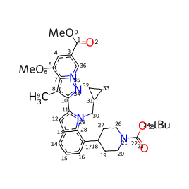 COC(=O)c1cc(OC)c2c(C)c(-c3cc4cccc(C5CCN(C(=O)OC(C)(C)C)CC5)c4n3CC3CC3)nn2c1